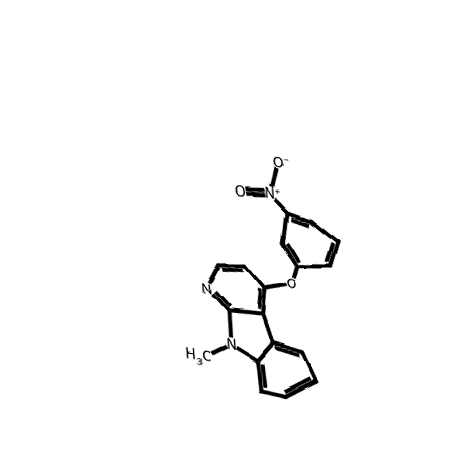 Cn1c2ccccc2c2c(Oc3cccc([N+](=O)[O-])c3)ccnc21